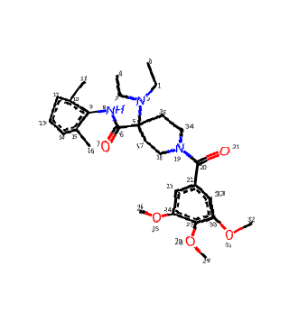 CCN(CC)C1(C(=O)Nc2c(C)cccc2C)CCN(C(=O)c2cc(OC)c(OC)c(OC)c2)CC1